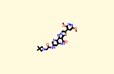 COc1cc(-c2cn3nc4c5ncc(NC(=O)CN6CC(C)(C)C6)cc5[nH]c(=O)c4c3s2)c(OC)nn1